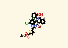 CC(C)(C)OC(=O)c1ccc(CCNC(=O)[C@@H]2c3ccccc3C(=O)N([C@H]3CCCC[C@@H]3O)[C@H]2c2ccc(Cl)cc2Cl)s1